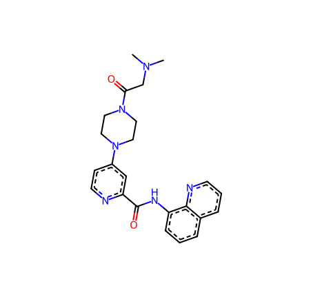 CN(C)CC(=O)N1CCN(c2ccnc(C(=O)Nc3cccc4cccnc34)c2)CC1